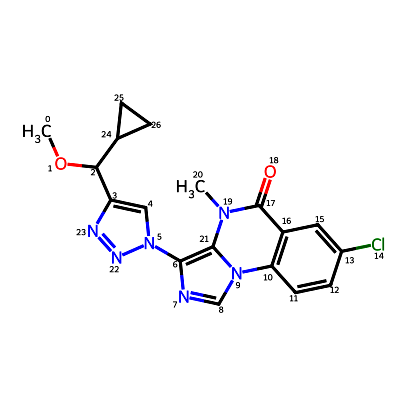 COC(c1cn(-c2ncn3c4ccc(Cl)cc4c(=O)n(C)c23)nn1)C1CC1